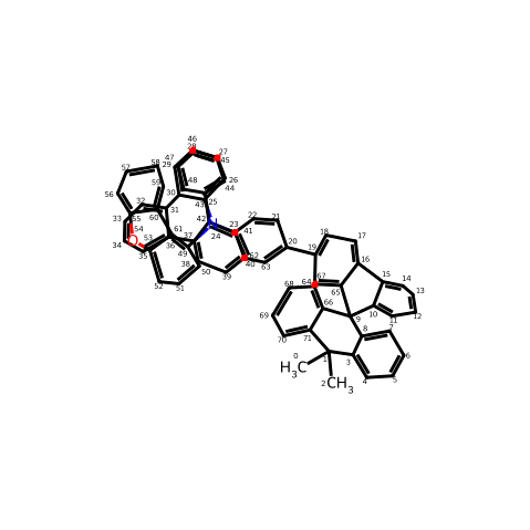 CC1(C)c2ccccc2C2(c3ccccc3-c3ccc(-c4ccc(N(c5ccccc5-c5ccccc5-c5ccccc5-c5ccccc5)c5cccc6oc7ccccc7c56)cc4)cc32)c2ccccc21